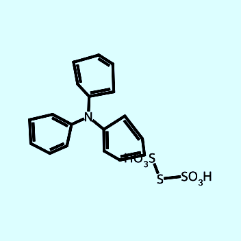 O=S(=O)(O)SS(=O)(=O)O.c1ccc(N(c2ccccc2)c2ccccc2)cc1